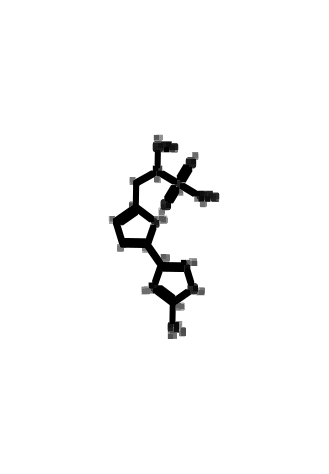 CNS(=O)(=O)N(Cc1ccc(-c2noc(C(F)(F)F)n2)s1)OC